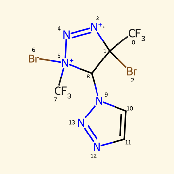 FC(F)(F)C1(Br)[N+]=N[N+](Br)(C(F)(F)F)C1n1ccnn1